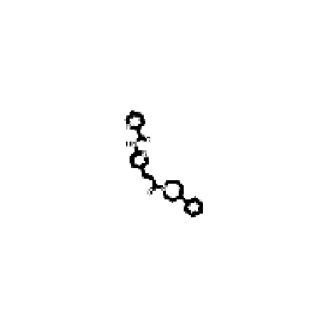 O=C(Nc1ccc(/C=C/C(=O)N2CCC=C(c3ccccc3)CC2)cn1)c1ccccn1